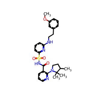 COc1cccc(CCNc2cccc(S(=O)(=O)NC(=O)c3cccnc3N3CCC(C)C3(C)C)n2)c1